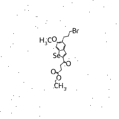 CCOC(=O)CCC(=O)c1cc2cc(CCCBr)c(OC)cc2[se]1